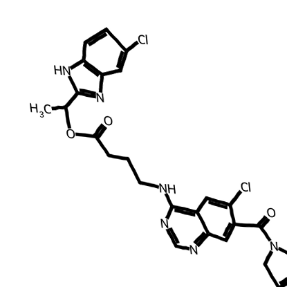 CC(OC(=O)CCCNc1ncnc2cc(C(=O)N3CC=CC3)c(Cl)cc12)c1nc2cc(Cl)ccc2[nH]1